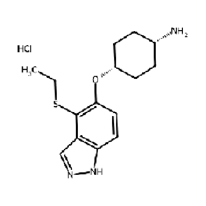 CCSc1c(O[C@H]2CC[C@@H](N)CC2)ccc2[nH]ncc12.Cl